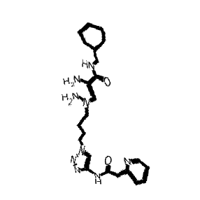 N/C(=C\N(N)CCCCn1cc(NC(=O)Cc2ccccn2)nn1)C(=O)NCC1CCCCC1